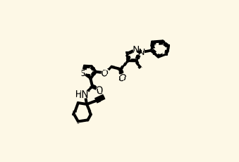 C#CC1(NC(=O)c2sccc2OCC(=O)c2cnn(-c3ccccc3)c2C)CCCCC1